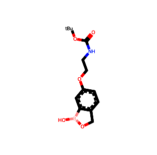 CC(C)(C)OC(=O)NCCOc1ccc2c(c1)B(O)OC2